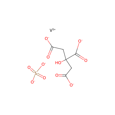 O=C([O-])CC(O)(CC(=O)[O-])C(=O)[O-].O=S(=O)([O-])[O-].[V+5]